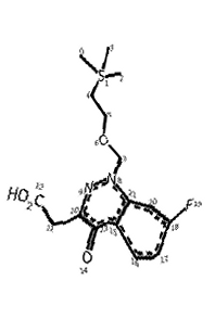 CS(C)(C)CCOCn1nc(CC(=O)O)c(=O)c2ccc(F)cc21